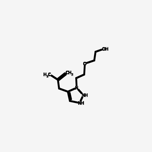 C=C(C)CC1=CNNN1CCOCCO